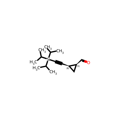 CC(C)[Si](C#C[C@@H]1C[C@@H]1C=O)(C(C)C)C(C)C